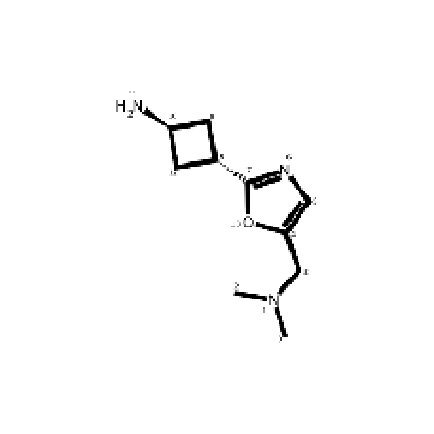 CN(C)Cc1cnc([C@H]2C[C@H](N)C2)o1